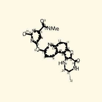 CNC(=O)c1cc(Oc2ccc3c(ccc4oc5c(c43)NC[C@@H](C)NC5=O)n2)nc(Cl)n1